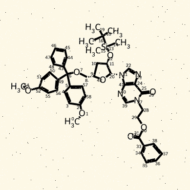 COc1ccc(C(OC[C@@H]2C[C@@H](O[Si](C)(C)C(C)(C)C)[C@H](n3cnc4c(=O)n(CCOC(=O)c5ccccc5)cnc43)O2)(c2ccccc2)c2ccc(OC)cc2)cc1